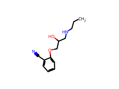 [CH2]CCNCC(O)COc1ccccc1C#N